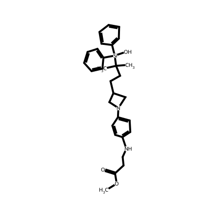 COC(=O)CCNc1ccc(N2CC(CCC(C)(C)[Si](O)(c3ccccc3)c3ccccc3)C2)cc1